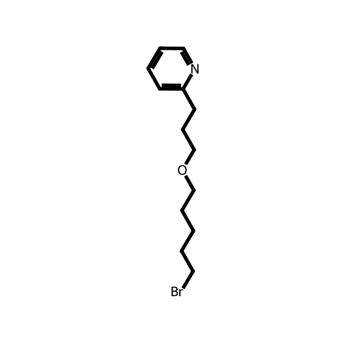 BrCCCCCOCCCc1ccccn1